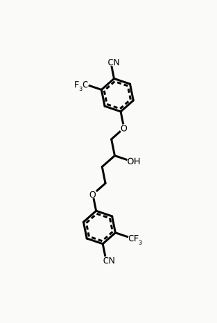 N#Cc1ccc(OCCC(O)COc2ccc(C#N)c(C(F)(F)F)c2)cc1C(F)(F)F